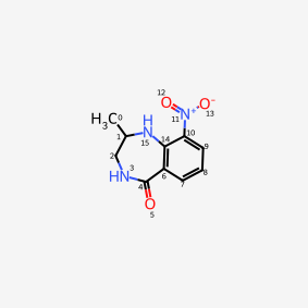 CC1CNC(=O)c2cccc([N+](=O)[O-])c2N1